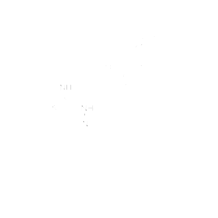 CNC(=S)NN=C(c1ccccc1)c1cccc(C(=O)c2ccccc2)c1